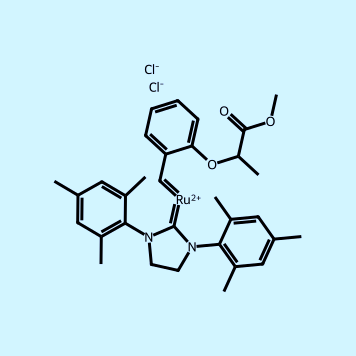 COC(=O)C(C)Oc1ccccc1[CH]=[Ru+2]=[C]1N(c2c(C)cc(C)cc2C)CCN1c1c(C)cc(C)cc1C.[Cl-].[Cl-]